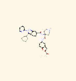 CNC(=O)c1cc2cc(NC(=O)C3(NC(=O)c4ccc5c(C6CCCCC6)n(-c6ccccn6)nc5c4)CCN(C)CC3)ccc2o1